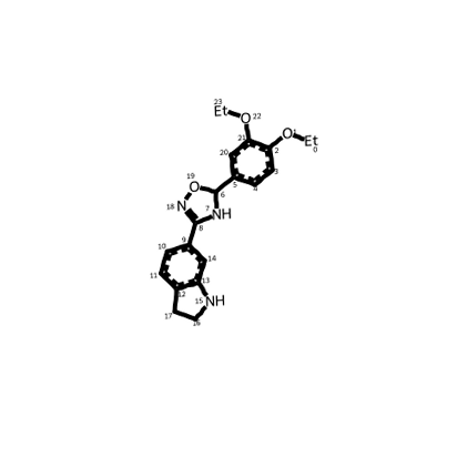 CCOc1ccc(C2NC(c3ccc4c(c3)NCC4)=NO2)cc1OCC